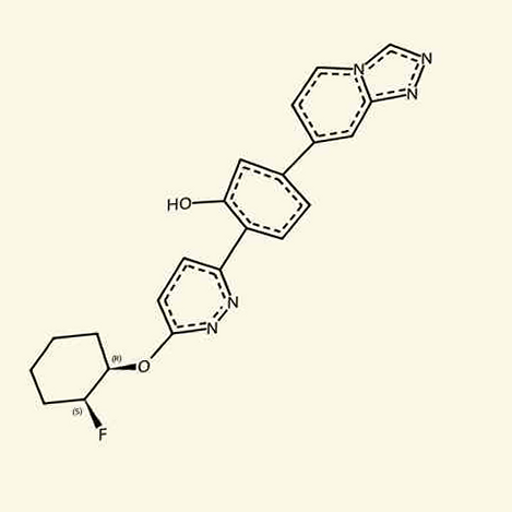 Oc1cc(-c2ccn3cnnc3c2)ccc1-c1ccc(O[C@@H]2CCCC[C@@H]2F)nn1